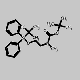 CN(CCO[Si](c1ccccc1)(c1ccccc1)C(C)(C)C)C(=O)OC(C)(C)C